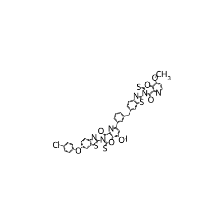 COc1ccnc2c(=O)n(-c3nc4ccc(Cc5cccc(-c6cc(OI)c7oc(=S)n(-c8nc9ccc(Oc%10ccc(Cl)cc%10)cc9s8)c(=O)c7n6)c5)cc4s3)c(=S)oc12